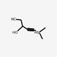 C[SiH](C)C#CC(O)CC#N